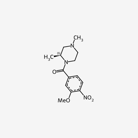 COc1cc(C(=O)N2CCN(C)C[C@@H]2C)ccc1[N+](=O)[O-]